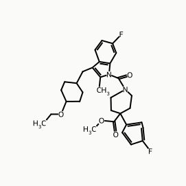 CCOC1CCC(Cc2c(C)n(C(=O)N3CCC(C(=O)OC)(c4ccc(F)cc4)CC3)c3cc(F)ccc23)CC1